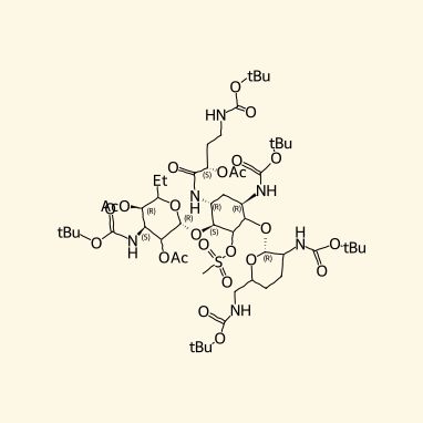 CCC1O[C@H](O[C@@H]2C(OS(C)(=O)=O)C(O[C@H]3OC(CNC(=O)OC(C)(C)C)CCC3NC(=O)OC(C)(C)C)[C@H](NC(=O)OC(C)(C)C)C[C@H]2NC(=O)[C@H](CCNC(=O)OC(C)(C)C)OC(C)=O)C(OC(C)=O)[C@@H](NC(=O)OC(C)(C)C)[C@H]1OC(C)=O